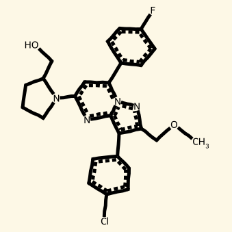 COCc1nn2c(-c3ccc(F)cc3)cc(N3CCCC3CO)nc2c1-c1ccc(Cl)cc1